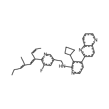 C\C=C/C(=C\C(C)=C\CC)c1ncc(CNc2nccc(-c3ccc4ncccc4n3)c2C2CCC2)cc1F